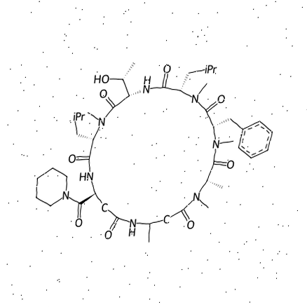 CC(C)C[C@H]1C(=O)N[C@H](C(=O)N2CCCCC2)CC(=O)NC(C)CC(=O)N(C)[C@@H](C)C(=O)N(C)[C@@H](Cc2ccccc2)C(=O)N(C)[C@@H](CC(C)C)C(=O)N[C@@H]([C@@H](C)O)C(=O)N1C